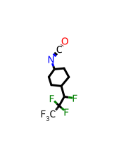 O=C=NC1CCC(C(F)C(F)(F)C(F)(F)F)CC1